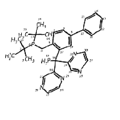 CC(C)(C)P(Cc1ccc(-c2ccccc2)cc1C(P)(c1cnccn1)c1cnccn1)C(C)(C)C